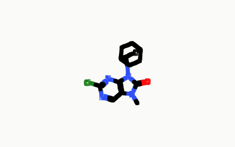 Cn1c(=O)n(C2CC3CCC2CC3)c2nc(Cl)ncc21